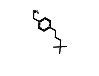 CC(C)(C)CCCc1ccc(CN)cc1